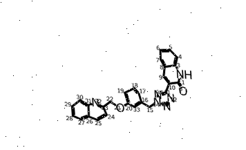 O=c1[nH]c2ccccc2cc1-c1nnn(Cc2cccc(OCc3ccc4ccccc4n3)c2)n1